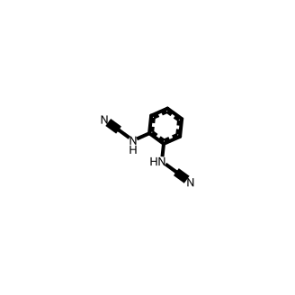 N#CNc1ccccc1NC#N